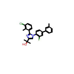 Cc1cccc(-c2ccc(-n3cc(C(C)(C)O)nc3-c3cccc(Cl)c3C)c(F)c2)c1